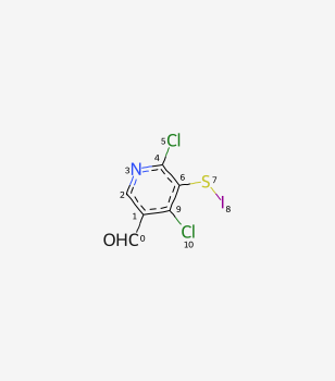 O=Cc1cnc(Cl)c(SI)c1Cl